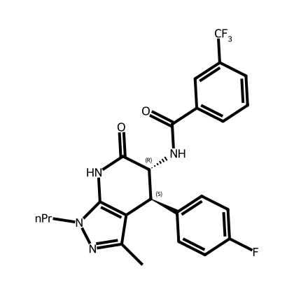 CCCn1nc(C)c2c1NC(=O)[C@H](NC(=O)c1cccc(C(F)(F)F)c1)[C@H]2c1ccc(F)cc1